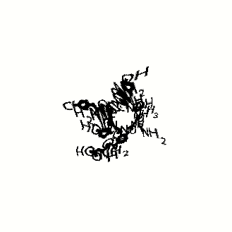 C[C@@H](O)[C@@H]1NC(=O)[C@H](CCCCN)NC(=O)[C@@H](Cc2ccc(NC(=O)[C@@H](N)CC(=O)O)cc2)NC(=O)[C@H](Cc2ccc(O)cc2)NC(=O)[C@H](NC(=O)[C@@H](N)Cc2ccc(Cl)cc2)CSSC[C@@H](C(=O)N[C@H](Cc2ccc(O)cc2)C(N)=O)NC1=O